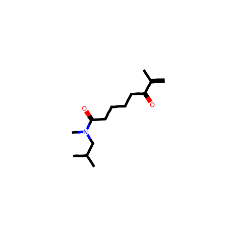 C=C(C)C(=O)CCCCC(=O)N(C)CC(C)C